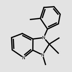 Cc1ccccc1N1c2cccnc2N(C)C1(C)C